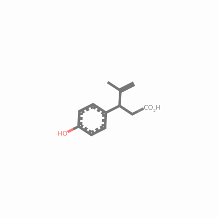 C=C(C)C(CC(=O)O)c1ccc(O)cc1